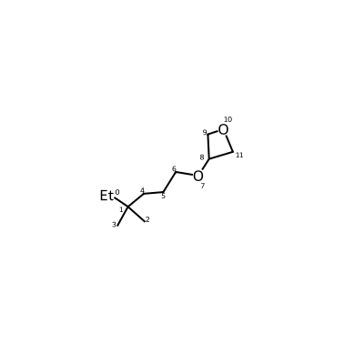 CCC(C)(C)CCCOC1COC1